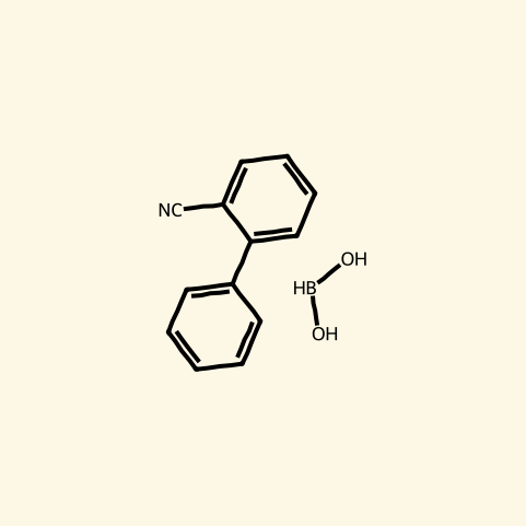 N#Cc1ccccc1-c1ccccc1.OBO